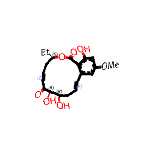 CC[C@H]1C/C=C\C(=O)[C@H](O)[C@H](O)C/C=C/c2cc(OC)cc(O)c2C(=O)O1